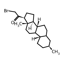 C[C@H]1CC[C@H]2C(CC[C@@H]3C2CC[C@]2(C)[C@@H](C(=O)CBr)CC[C@@H]32)C1